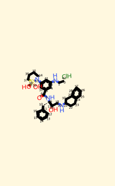 CCNc1cc(C(=O)N[C@@H](Cc2ccccc2)[C@H](O)CNC2CCc3ccccc3C2)cc(N2CCCCS2(O)O)c1.Cl